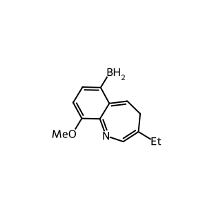 Bc1ccc(OC)c2c1=CCC(CC)=CN=2